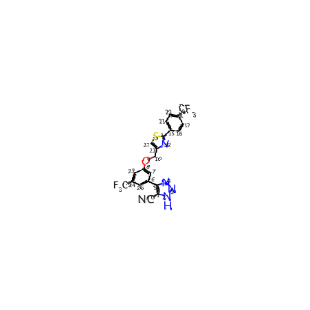 N#Cc1[nH]nnc1-c1cc(OCc2csc(-c3ccc(C(F)(F)F)cc3)n2)cc(C(F)(F)F)c1